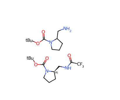 CC(C)(C)OC(=O)N1CCCC1CN.CC(C)(C)OC(=O)N1CCC[C@@H]1CNC(=O)C(F)(F)F